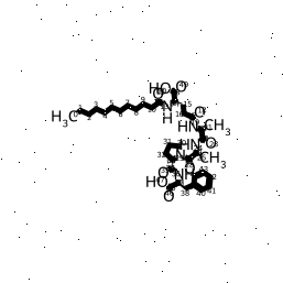 CCCCCCCCCCCC(=O)N[C@@H](CCC(=O)N[C@@H](C)C(=O)N[C@@H](C)C(=O)N1CCC[C@H]1C(=O)N[C@@H](Cc1ccccc1)C(=O)O)C(=O)O